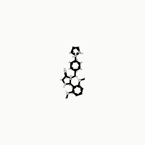 COc1cccc(OC)c1C1SCC(=O)N1Cc1ccc(-n2cccn2)cc1